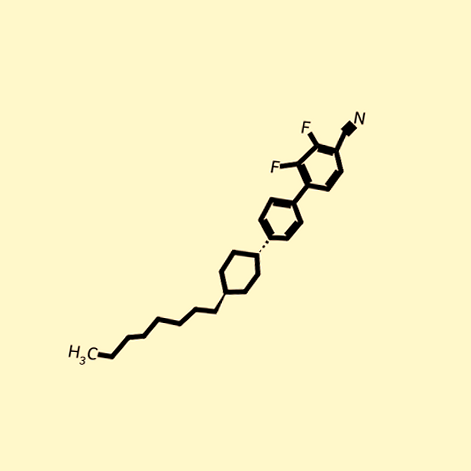 CCCCCCCC[C@H]1CC[C@H](c2ccc(-c3ccc(C#N)c(F)c3F)cc2)CC1